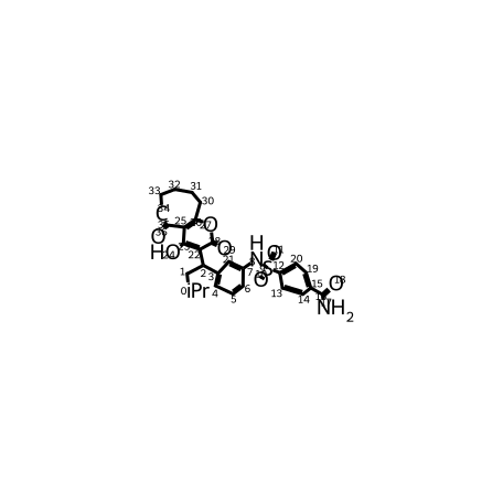 CC(C)CC(c1cccc(NS(=O)(=O)c2ccc(C(N)=O)cc2)c1)c1c(O)c2c(oc1=O)CCCCCC2=O